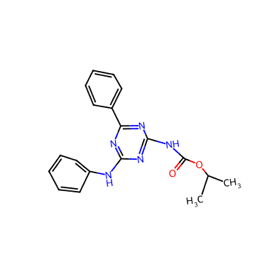 CC(C)OC(=O)Nc1nc(Nc2ccccc2)nc(-c2ccccc2)n1